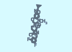 CN1C(=O)[C@@H](N2CCc3c(nn(Cc4cc(F)cc(F)c4)c3Cl)C2=O)COc2cc3nc(C4CC4)oc3cc21